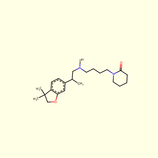 CCCN(CCCCN1CCCCC1=O)CC(C)c1ccc2c(c1)OCC2(C)C